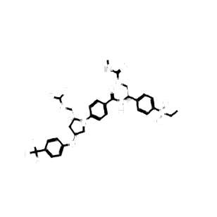 CCS(=O)(=O)c1ccc([C@H](COC(=O)NC)NC(=O)c2ccc(N3C[C@@H](Oc4ccc(C(F)(F)F)cc4)C[C@H]3COC(F)F)cc2)cc1